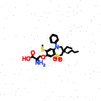 CCCC[C@@]1(CC)CN(c2ccccc2)c2cc(SC)c(OC[C@@H](N)C(=O)O)cc2S(=O)(=O)C1